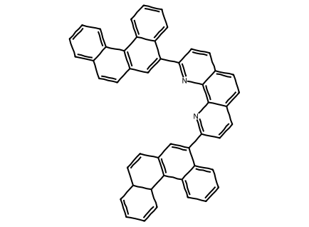 C1=CC2C=Cc3cc(-c4ccc5ccc6ccc(-c7cc8ccc9ccccc9c8c8ccccc78)nc6c5n4)c4ccccc4c3C2C=C1